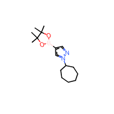 CC1(C)OB(c2cnn(C3CCCCCC3)c2)OC1(C)C